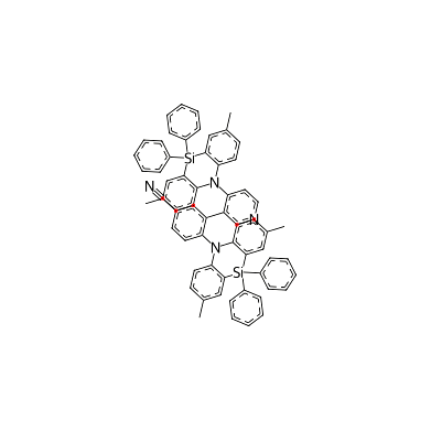 Cc1ccc2c(c1)[Si](c1ccccc1)(c1ccccc1)c1cc(C)ccc1N2c1ccncc1-c1cc(C#N)ccc1N1c2ccc(C)cc2[Si](c2ccccc2)(c2ccccc2)c2cc(C)ccc21